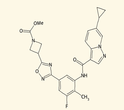 COC(=O)N1CC(c2nc(-c3cc(F)c(C)c(NC(=O)c4cnn5cc(C6CC6)ccc45)c3)no2)C1